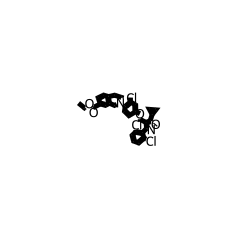 CCOC(=O)c1ccc2c(c1)CN(c1ccc(OCc3c(-c4c(Cl)cccc4Cl)noc3C3CC3)cc1Cl)CC2